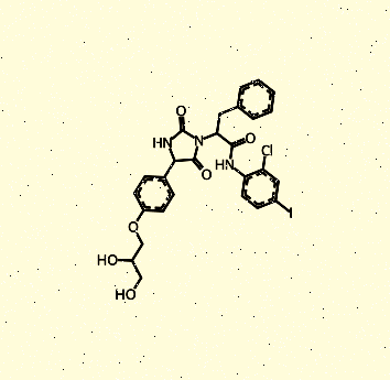 O=C(Nc1ccc(I)cc1Cl)C(Cc1ccccc1)N1C(=O)NC(c2ccc(OCC(O)CO)cc2)C1=O